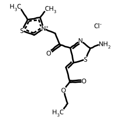 CCOC(=O)C=C1SC(N)N=C1C(=O)C[n+]1csc(C)c1C.[Cl-]